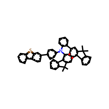 CC1(C)c2ccccc2-c2ccc(-c3ccccc3N(c3ccc(-c4ccc5c(c4)sc4ccccc45)cc3)c3cccc4c3-c3ccccc3C4(C)C)cc21